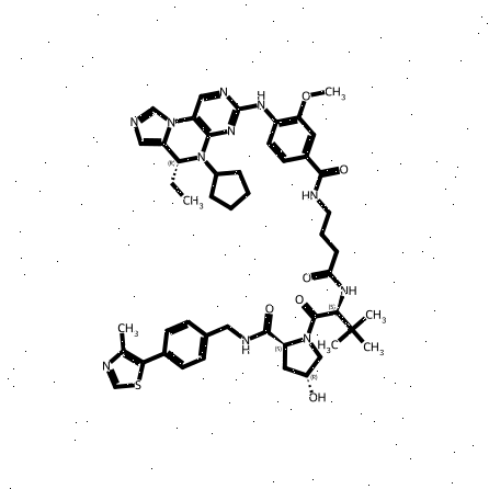 CC[C@@H]1c2cncn2-c2cnc(Nc3ccc(C(=O)NCCCC(=O)N[C@H](C(=O)N4C[C@H](O)C[C@H]4C(=O)NCc4ccc(-c5scnc5C)cc4)C(C)(C)C)cc3OC)nc2N1C1CCCC1